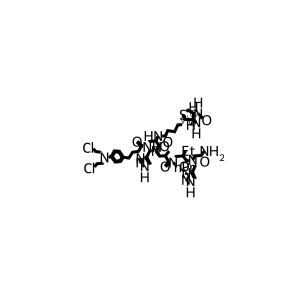 CCCN(CC(CC)C(=O)N(CC(N)=O)Cc1c[nH]nn1)C(=O)C(C)CN(Cc1c[nH]nn1)C(=O)C(CNC(=O)CCCc1ccc(N(CCCl)CCCl)cc1)NC(=O)CCCC[C@@H]1SC[C@@H]2NC(=O)N[C@@H]21